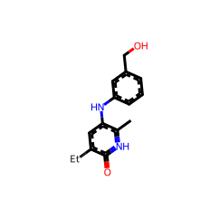 CCc1cc(Nc2cccc(CO)c2)c(C)[nH]c1=O